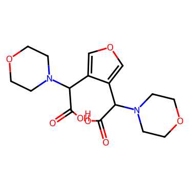 O=C(O)C(c1cocc1C(C(=O)O)N1CCOCC1)N1CCOCC1